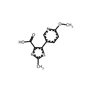 COc1ccc(-c2sc(C)nc2C(=O)O)cn1